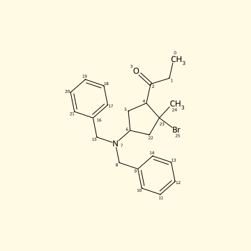 CCC(=O)C1CC(N(Cc2ccccc2)Cc2ccccc2)CC1(C)Br